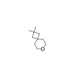 CC1(C)CC2(CCOCC2)C1